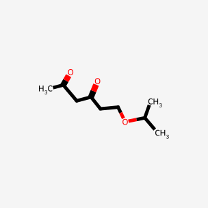 CC(=O)CC(=O)CCOC(C)C